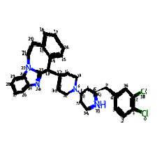 Clc1ccc(C[C@@H]2C[C@@H](N3CCC(C4c5ccccc5CCn5c4nc4ccccc45)CC3)CCN2)cc1Cl